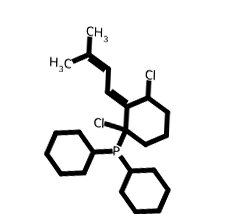 CC(C)=CC=C1C(Cl)CCCC1(Cl)P(C1CCCCC1)C1CCCCC1